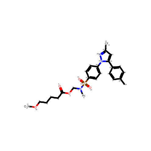 CC(=O)N(COC(=O)CCCCO[N+](=O)[O-])S(=O)(=O)c1ccc(-n2nc(C(F)(F)F)cc2-c2ccc(C)cc2)cc1